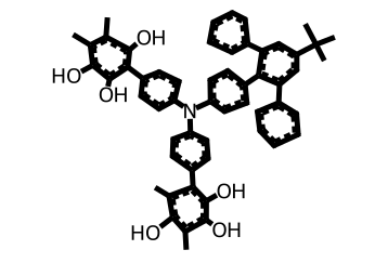 Cc1c(O)c(C)c(-c2ccc(N(c3ccc(-c4c(-c5ccccc5)cc(C(C)(C)C)cc4-c4ccccc4)cc3)c3ccc(-c4c(O)c(C)c(C)c(O)c4O)cc3)cc2)c(O)c1O